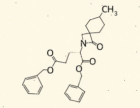 CC1CCC2(CC1)CN([C@@H](CCC(=O)OCc1ccccc1)C(=O)OCc1ccccc1)C2=O